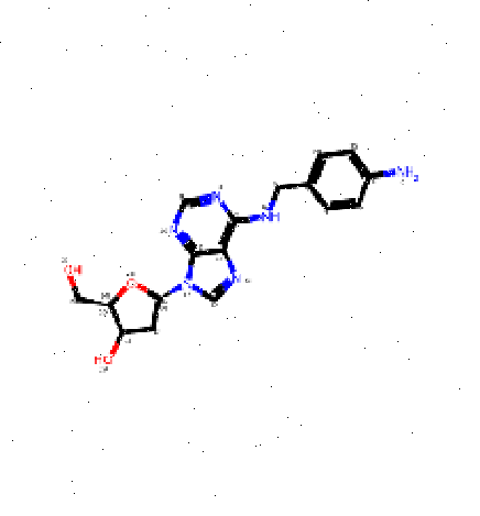 Nc1ccc(CNc2ncnc3c2ncn3[C@H]2CC(O)[C@@H](CO)O2)cc1